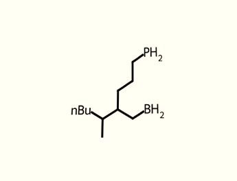 BCC(CCCP)C(C)CCCC